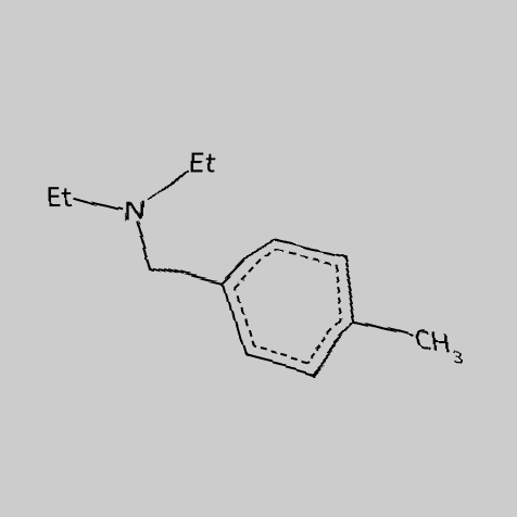 CCN(CC)Cc1ccc(C)cc1